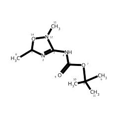 CC1N=C(NC(=O)OC(C)(C)C)N(C)O1